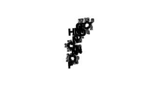 Cc1cc(C)c(S(=O)(=O)N[C@H]2CCN(c3cccc4c3cnn4-c3ccc(F)cc3)C2)c(C)c1